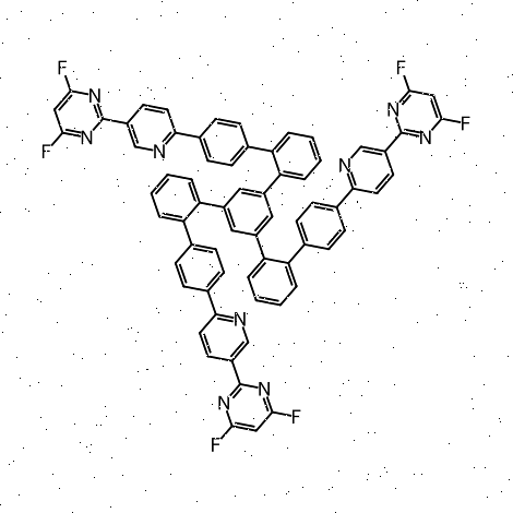 Fc1cc(F)nc(-c2ccc(-c3ccc(-c4ccccc4-c4cc(-c5ccccc5-c5ccc(-c6ccc(-c7nc(F)cc(F)n7)cn6)cc5)cc(-c5ccccc5-c5ccc(-c6ccc(-c7nc(F)cc(F)n7)cn6)cc5)c4)cc3)nc2)n1